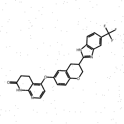 O=C1CCc2c(Oc3ccc4c(c3)CC(c3nc5cc(C(F)(F)F)ccc5[nH]3)CO4)ccnc2N1